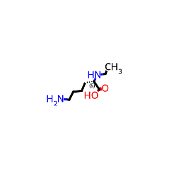 CCN[C@@H](CCCCN)C(=O)O